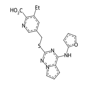 CCc1cc(CSc2nc(Nc3ccco3)c3cccn3n2)cnc1C(=O)O